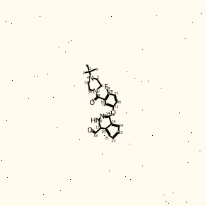 CC(C)(C)N1CCN(C(=O)c2cc(OC3=NNC(C=O)c4ccccc43)ccc2F)CC1